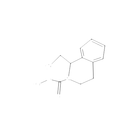 CC(C)(C)OC(=O)N1CCc2ccccc2C1C[N+](=O)[O-]